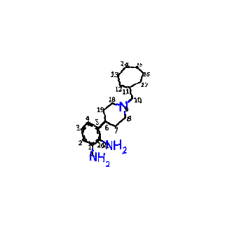 Nc1cccc(C2CCN(CC3CCCCCC3)CC2)c1N